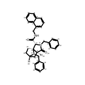 O=C(NCc1cccc2ccccc12)[C@@H]1N(Cc2ccccc2)C(=O)[C@H]2C[C@@H]3CC[C@@]21N3Cc1ccccc1